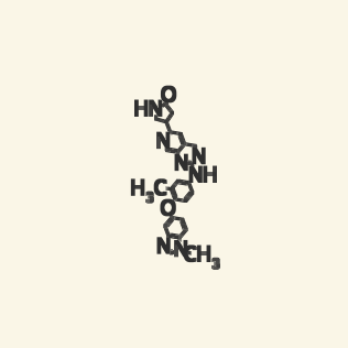 Cc1cc(Nc2ncc3cc(C4CNC(=O)C4)ncc3n2)ccc1Oc1ccc2c(c1)ncn2C